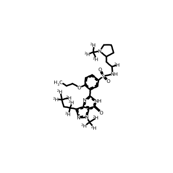 [2H]C(CC1CCCN1C([2H])([2H])[2H])NS(=O)(=O)c1ccc(OCCC)c(-c2nc3c(C([2H])([2H])CC([2H])([2H])[2H])nn(C([2H])([2H])[2H])c3c(=O)[nH]2)c1